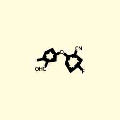 Cc1ccc(Oc2ccc(F)cc2C#N)cc1C=O